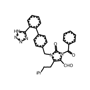 CC(C)CCc1c(C=O)n(C(=O)c2ccccc2)c(=O)n1Cc1ccc(-c2ccccc2-c2nnn[nH]2)cc1